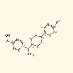 CC(c1ccc(CO)cc1)N1CCN(c2ccc(F)cc2)CC1